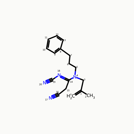 C=C(C)CN(CCCc1ccccc1)C(CC#N)=NC#N